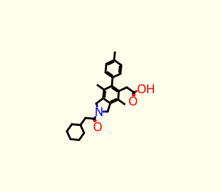 Cc1ccc(-c2c(C)c3c(c(C)c2CC(=O)O)CN(C(=O)CC2CCCCC2)C3)cc1